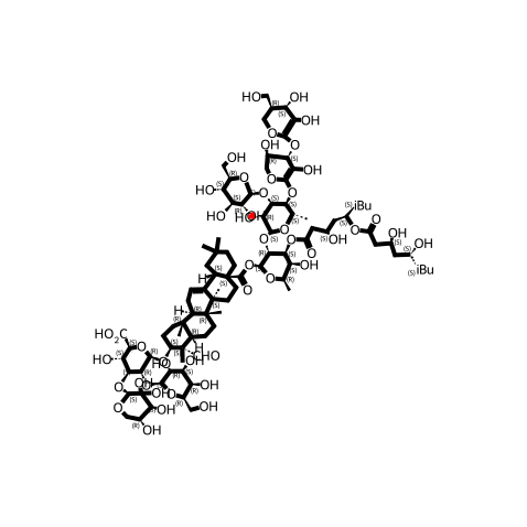 CC[C@H](C)[C@H](C[C@H](O)CC(=O)O[C@H]1[C@@H](O)[C@@H](C)O[C@@H](OC(=O)[C@]23CCC(C)(C)C[C@H]2C2=CC[C@@H]4[C@@]5(C)CC[C@H](O[C@@H]6O[C@H](C(=O)O)[C@@H](O)[C@H](O[C@@H]7OC[C@@H](O)[C@H](O)C7(O)O)[C@H]6O[C@@H]6O[C@H](CO)[C@H](O)[C@H](O)[C@H]6O)[C@@](C)(C=O)[C@@H]5CC[C@@]4(C)[C@]2(C)CC3)[C@@H]1O[C@@H]1O[C@@H](C)[C@H](OC2=C(O)[C@@H](OC3=C(O)[C@@H](O)[C@H](CO)CO3)[C@H](O)CO2)[C@@H](O[C@@H]2O[C@H](CO)[C@@H](O)[C@H](O)[C@H]2O)[C@H]1O)OC(=O)C[C@@H](O)C[C@H](O)[C@@H](C)CC